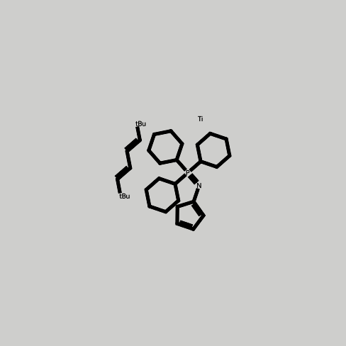 C1=CCC(N=P(C2CCCCC2)(C2CCCCC2)C2CCCCC2)=C1.CC(C)(C)C=CC=CC(C)(C)C.[Ti]